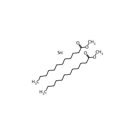 CCCCCCCCCCCC(=O)OC.CCCCCCCCCCCC(=O)OC.[Sn]